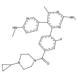 CNc1ccc(-c2c(C)nc(N)nc2-c2ccc(C(=O)N3CCN(C4CC4)CC3)cc2F)cn1